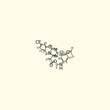 C=C(C(=O)OC(C)Nc1ccc(OC(C)C)c(Cl)c1)c1ncnc(=O)n1Cc1ccc(Cl)cc1